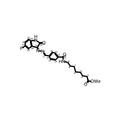 COC(=O)CCCCCCCNC(=O)c1ccc(/C=N/N=C2\C(=O)Nc3ccc(F)cc32)cc1